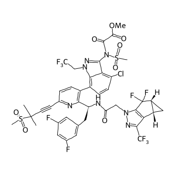 COC(=O)C(=O)N(c1nn(CC(F)(F)F)c2c(-c3ccc(C#CC(C)(C)S(C)(=O)=O)nc3[C@H](Cc3cc(F)cc(F)c3)NC(=O)Cn3nc(C(F)(F)F)c4c3C(F)(F)[C@@H]3C[C@H]43)ccc(Cl)c12)S(C)(=O)=O